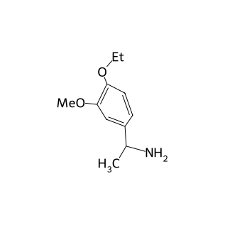 CCOc1ccc(C(C)N)cc1OC